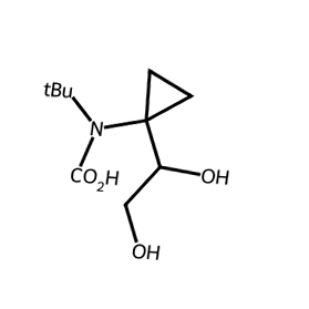 CC(C)(C)N(C(=O)O)C1(C(O)CO)CC1